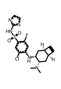 CN(C)[C@H]1C[C@@H]2C#C[C@@H]2C[C@@H]1Nc1cc(F)c(S(=O)(=O)Nc2nccs2)cc1Cl